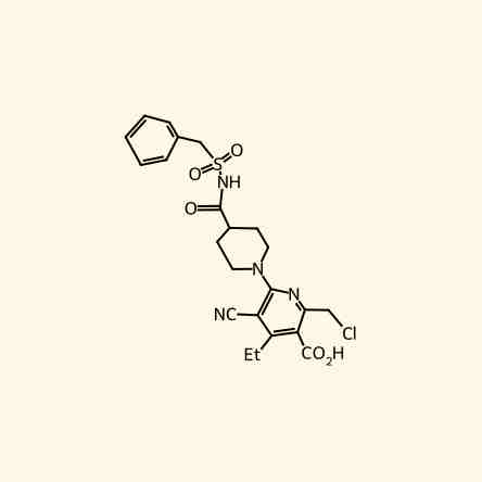 CCc1c(C#N)c(N2CCC(C(=O)NS(=O)(=O)Cc3ccccc3)CC2)nc(CCl)c1C(=O)O